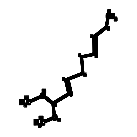 CCC=CCCC=CC(OC)OC